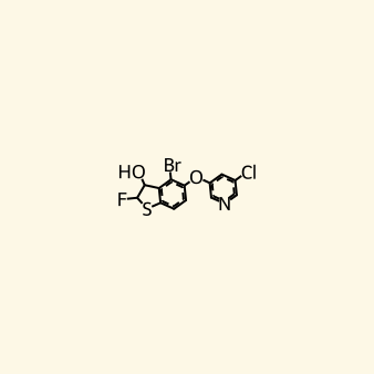 OC1c2c(ccc(Oc3cncc(Cl)c3)c2Br)SC1F